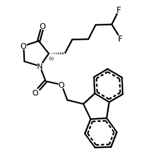 O=C1OCN(C(=O)OCC2c3ccccc3-c3ccccc32)[C@H]1CCCCC(F)F